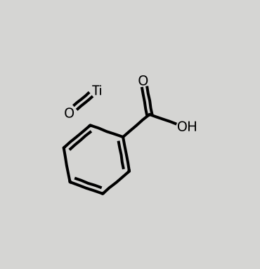 O=C(O)c1ccccc1.[O]=[Ti]